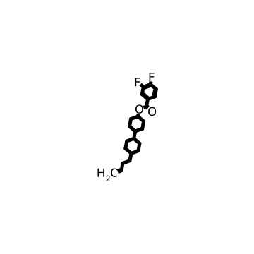 C=CCCC1CCC(C2CCC(OC(=O)c3ccc(F)c(F)c3)CC2)CC1